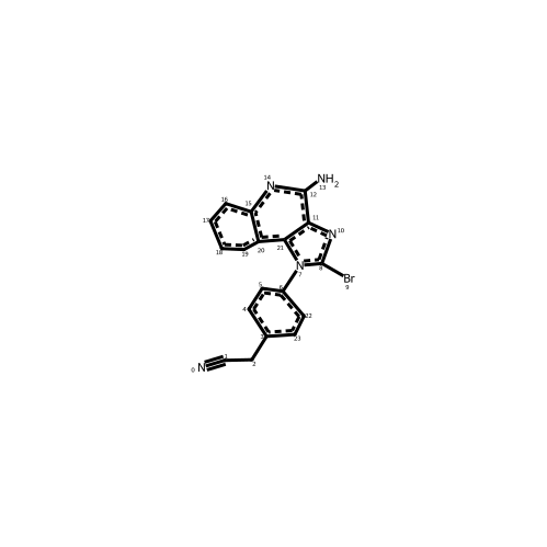 N#CCc1ccc(-n2c(Br)nc3c(N)nc4ccccc4c32)cc1